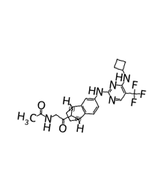 CC(=O)NCC(=O)C1[C@@H]2CC[C@H]1c1ccc(Nc3ncc(C(F)(F)F)c(NC4CCC4)n3)cc12